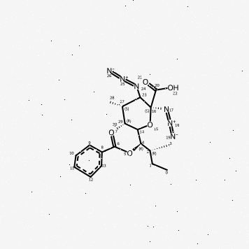 CC[C@@H](C)[C@@H](OC(=O)c1ccccc1)C1O[C@](N=[N+]=[N-])(C(=O)O)C(N=[N+]=[N-])[C@@H](C)[C@H]1C